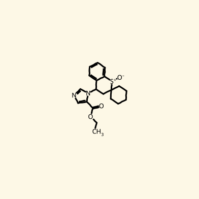 CCOC(=O)c1cncn1C1CC2(CCCCC2)[S+]([O-])c2ccccc21